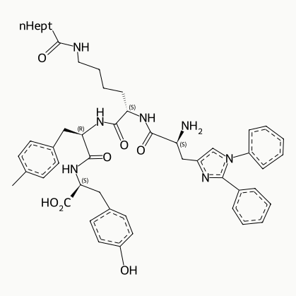 CCCCCCCC(=O)NCCCC[C@H](NC(=O)[C@@H](N)Cc1cn(-c2ccccc2)c(-c2ccccc2)n1)C(=O)N[C@H](Cc1ccc(C)cc1)C(=O)N[C@@H](Cc1ccc(O)cc1)C(=O)O